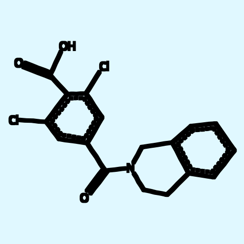 O=C(O)c1c(Cl)cc(C(=O)N2CCc3ccccc3C2)cc1Cl